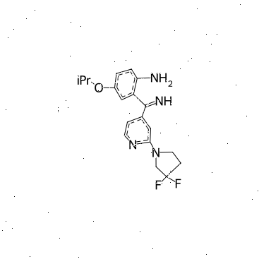 CC(C)Oc1ccc(N)c(C(=N)c2ccnc(N3CCC(F)(F)C3)c2)c1